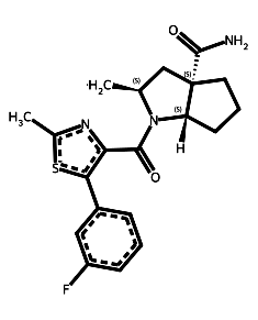 [CH2][C@H]1C[C@@]2(C(N)=O)CCC[C@@H]2N1C(=O)c1nc(C)sc1-c1cccc(F)c1